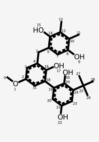 COc1cc(Cc2cc(O)c(C)c(C)c2O)c(O)c(-c2cc(O)cc(C(C)(C)C)c2O)c1